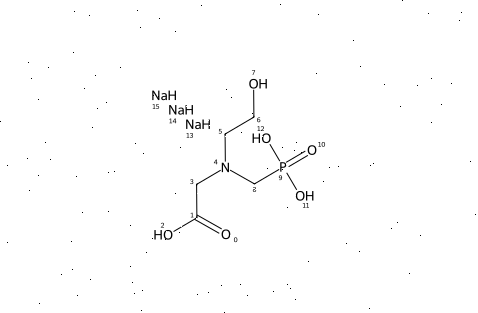 O=C(O)CN(CCO)CP(=O)(O)O.[NaH].[NaH].[NaH]